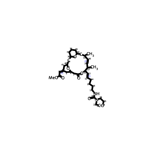 COC(=O)/C=C1\CC2CC(=O)OC(/C=C/CCCCNC(=O)N3CCOCC3)C(C)/C=C/C(C)CC3CCCC(CC(C1)O2)O3